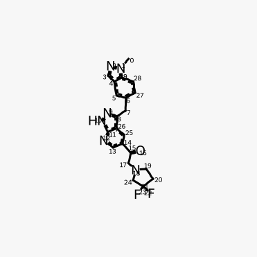 Cn1ncc2cc(Cc3n[nH]c4ncc(C(=O)CN5CCC(F)(F)C5)cc34)ccc21